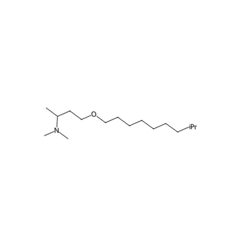 CC(C)CCCCCCCOCCC(C)N(C)C